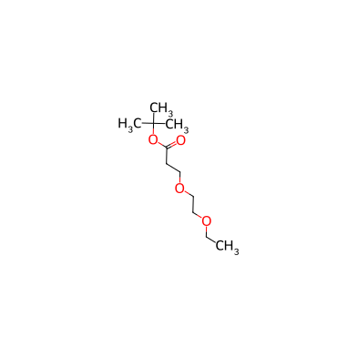 CCOCCOCCC(=O)OC(C)(C)C